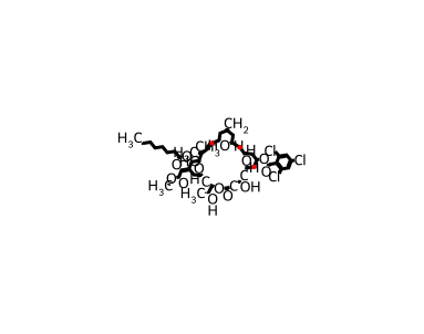 C=C1C[C@H]2C[C@H]3CC(OC(=O)c4c(Cl)cc(Cl)cc4Cl)C[C@@H](C[C@@H](O)CC(=O)O[C@@H]([C@@H](C)O)C[C@@H]4C/C(=C\C(=O)OC)[C@H](OC(=O)CCCCCCC)[C@@](O)(O4)C(C)(C)/C=C/[C@@H](C1)O2)O3